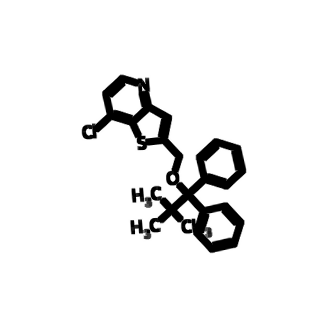 CC(C)(C)C(OCc1cc2nccc(Cl)c2s1)(c1ccccc1)c1ccccc1